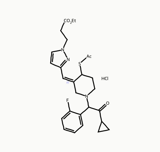 CCOC(=O)CCn1ccc(/C=C2/CN(C(C(=O)C3CC3)c3ccccc3F)CCC2SC(C)=O)n1.Cl